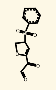 O=CC(=O)C1=CC(S(=O)(=O)c2ccccc2)CO1